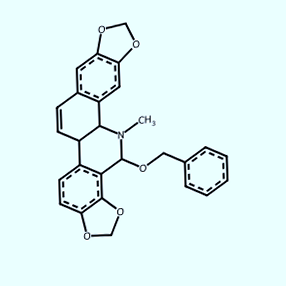 CN1C(OCc2ccccc2)c2c(ccc3c2OCO3)C2C=Cc3cc4c(cc3C21)OCO4